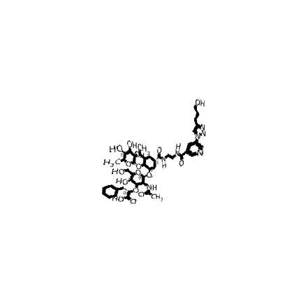 CCC1C[C@H](C(=O)NCCNC(=O)c2cncc(-n3cc(CCCO)nn3)c2)C[C@@H](O[C@@H]2OC(CO)[C@H](O)C(O[C@@H](CC3CCCCC3)C(=O)O)C2NC(C)=O)C1O[C@@H]1OC(C)[C@@H](O)C(O)C1O